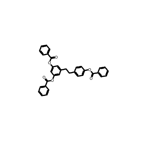 O=C(Oc1ccc(CCc2cc(OC(=O)c3ccccc3)cc(OC(=O)c3ccccc3)c2)cc1)c1ccccc1